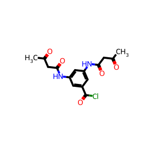 CC(=O)CC(=O)Nc1cc(NC(=O)CC(C)=O)cc(C(=O)Cl)c1